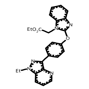 CCOC(=O)Cn1c(Oc2ccc(-c3nn(CC)c4cccnc34)cc2)nc2ccccc21